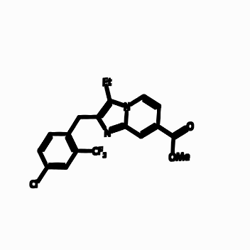 CCc1c(Cc2ccc(Cl)cc2C(F)(F)F)nc2cc(C(=O)OC)ccn12